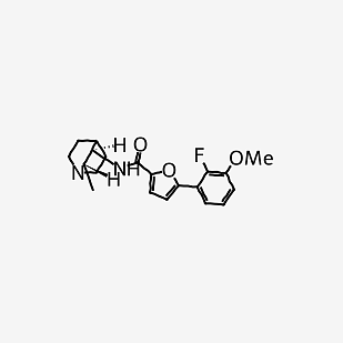 COc1cccc(-c2ccc(C(=O)N[C@@H]3C4CCN(CC4)[C@H]3C)o2)c1F